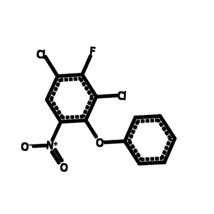 O=[N+]([O-])c1cc(Cl)c(F)c(Cl)c1Oc1ccccc1